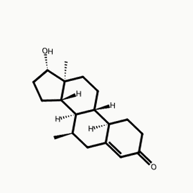 C[C@@H]1CC2=CC(=O)CC[C@@H]2[C@H]2CC[C@]3(C)[C@@H](O)CC[C@H]3[C@@H]21